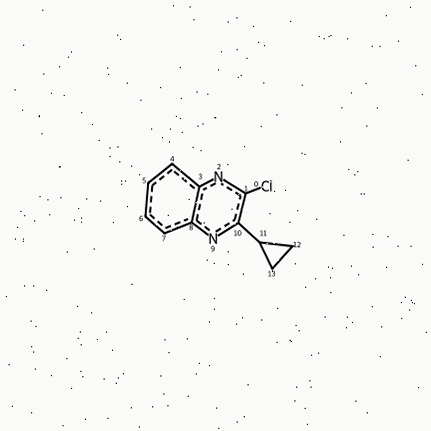 Clc1nc2ccccc2nc1C1CC1